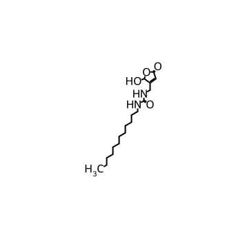 CCCCCCCCCCCCNC(=O)NCC1=CC(=O)OC1O